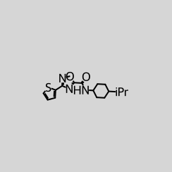 CC(C)C1CCC(NC(=O)c2nc(-c3cccs3)no2)CC1